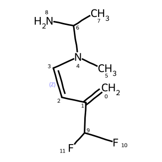 C=C(/C=C\N(C)C(C)N)C(F)F